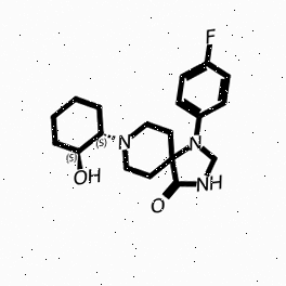 O=C1NCN(c2ccc(F)cc2)C12CCN([C@H]1CCCC[C@@H]1O)CC2